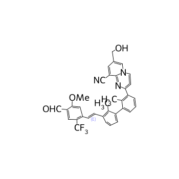 COc1cc(/C=C/c2cccc(-c3cccc(C4=C=CN5C=C(CO)C=C(C#N)C5=N4)c3C)c2C)c(C(F)(F)F)cc1C=O